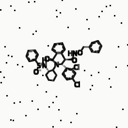 O=C(NOCc1ccccc1)[C@@H]1c2ccccc2C(=O)N(C2CCCC[C@@H]2N[S+]([O-])c2ccccc2)[C@H]1c1ccc(Cl)cc1Cl